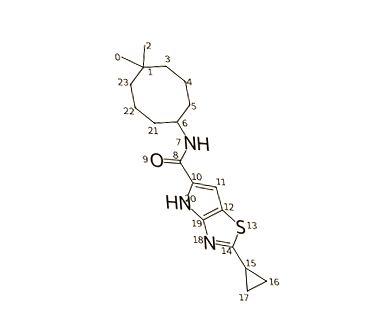 CC1(C)CCCC(NC(=O)c2cc3sc(C4CC4)nc3[nH]2)CCC1